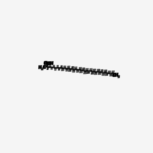 C=C(CCCCCCCCCCCCCCCCCCCCCCCCCCCCCCCCCCCCC)C(=O)O